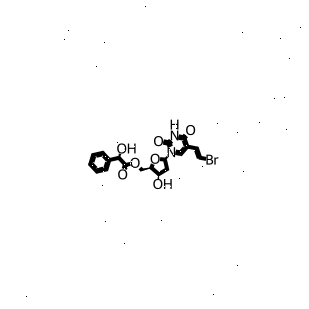 O=C(OC[C@H]1O[C@@H](n2cc(C=CBr)c(=O)[nH]c2=O)C[C@@H]1O)[C@H](O)c1ccccc1